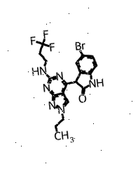 CCCn1cc2c(C3C(=O)Nc4ccc(Br)cc43)nc(NCCC(F)(F)F)nc2n1